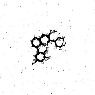 Nc1cc2cccc(-c3cc(F)cc(F)c3F)c2nc1C1CCOCC1